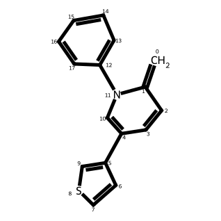 C=C1C=CC(c2ccsc2)=CN1c1ccccc1